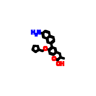 CC(Cc1ccc(OCC2CCCC2)c(-c2ccc3ccc(N)cc3c2)c1)C(=O)O